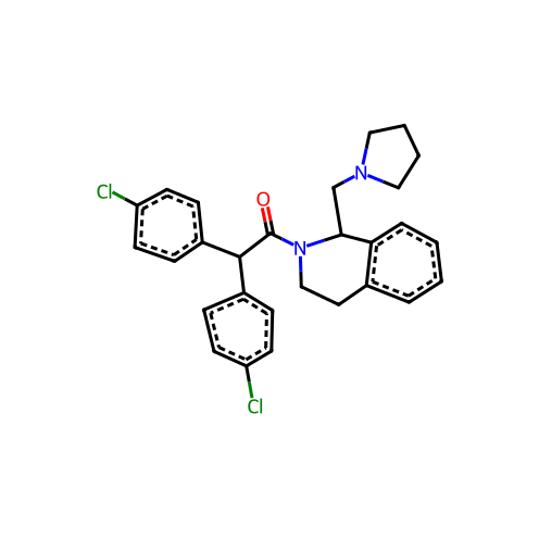 O=C(C(c1ccc(Cl)cc1)c1ccc(Cl)cc1)N1CCc2ccccc2C1CN1CCCC1